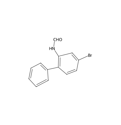 O=CNc1cc(Br)ccc1-c1ccccc1